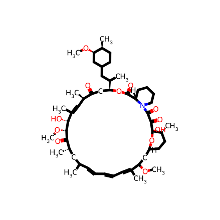 COC1C[C@@H]2CC[C@@H](C)[C@@](O)(O2)C(=O)C(=O)N2CCCC[C@H]2C(=O)O[C@H](C(C)CC2CC[C@H](C)[C@H](OC)C2)CC(=O)[C@H](C)/C=C(\C)[C@@H](O)[C@@H](OC)C(=O)[C@@H](C)CC(C)/C=C/C=C/C=C/1C